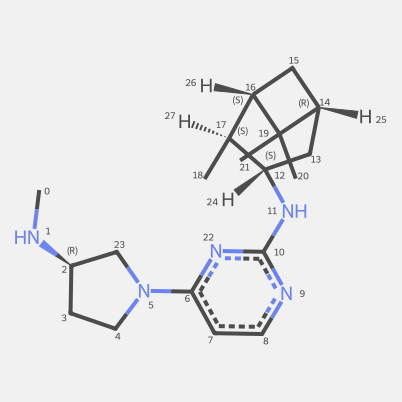 CN[C@@H]1CCN(c2ccnc(N[C@H]3C[C@H]4C[C@@H]([C@@H]3C)C4(C)C)n2)C1